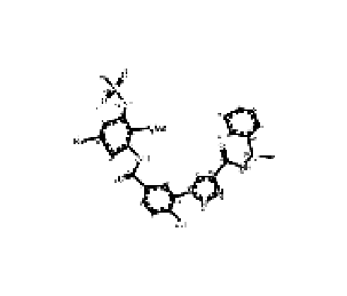 COc1c(NC(=O)c2ccc(Cl)c(-n3cc(C(=O)N[C@H](C)c4ccccc4)nn3)c2)cc(C(C)(C)C)cc1NS(C)(=O)=O